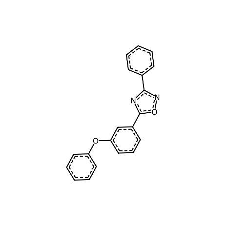 c1ccc(Oc2cccc(-c3nc(-c4ccccc4)no3)c2)cc1